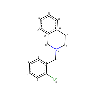 Brc1ccccc1CN1CCc2ccccc2C1